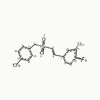 O=S(=O)(C=Cc1ccc(F)c(Cl)c1)Cc1ccc(Cl)cc1